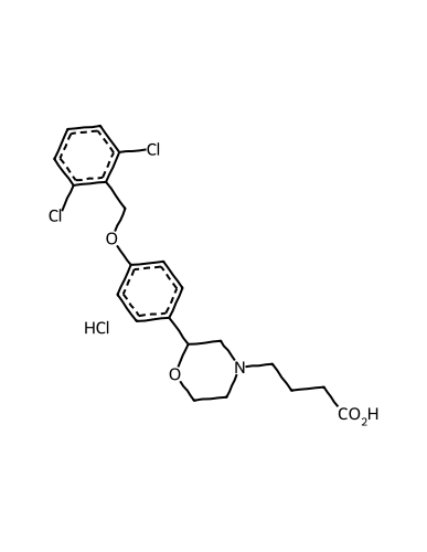 Cl.O=C(O)CCCN1CCOC(c2ccc(OCc3c(Cl)cccc3Cl)cc2)C1